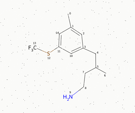 Cc1cc(CC(C)CCN)cc(SC(F)(F)F)c1